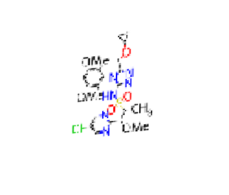 COc1cccc(OC)c1-n1c(COC2CC2)nnc1NS(=O)(=O)C(C)C(OC)c1ncc(Cl)cn1